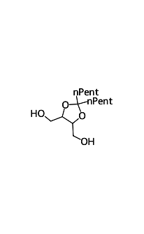 CCCCCC1(CCCCC)OC(CO)C(CO)O1